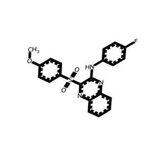 COc1ccc(S(=O)(=O)c2nc3ccccc3nc2Nc2ccc(F)cc2)cc1